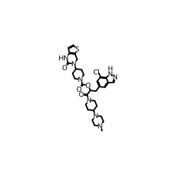 CN1CCN(C2CCN(C(=O)C(Cc3cc(Cl)c4[nH]ncc4c3)OC(=O)N3CCC(N4Cc5sccc5NC4=O)CC3)CC2)CC1